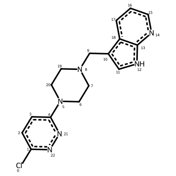 Clc1ccc(N2CCN(Cc3c[nH]c4ncccc34)CC2)nn1